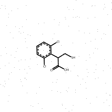 O=C(O)C(CS)c1c(Cl)cccc1Cl